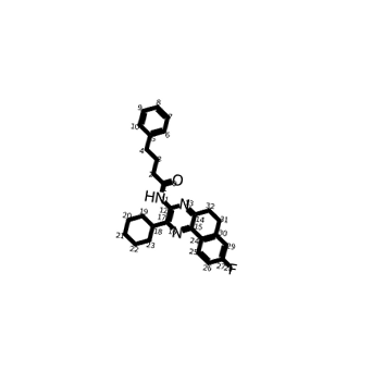 O=C(CCCc1ccccc1)Nc1nc2c(nc1C1CCCCC1)-c1ccc(F)cc1CC2